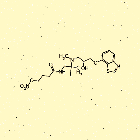 CN(CC(O)COc1cccc2ncsc12)C(C)(I)CNC(=O)CCCO[N+](=O)[O-]